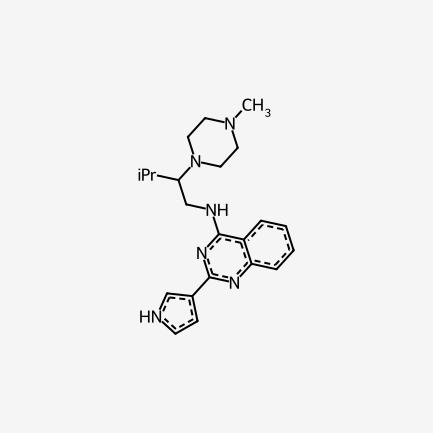 CC(C)C(CNc1nc(-c2cc[nH]c2)nc2ccccc12)N1CCN(C)CC1